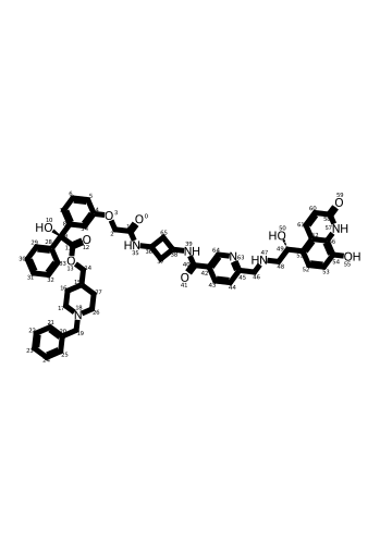 O=C(COc1cccc([C@](O)(C(=O)OCC2CCN(Cc3ccccc3)CC2)c2ccccc2)c1)NC1CC(NC(=O)c2ccc(CNC[C@H](O)c3ccc(O)c4[nH]c(=O)ccc34)nc2)C1